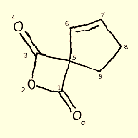 O=C1OC(=O)C12C=CCC2